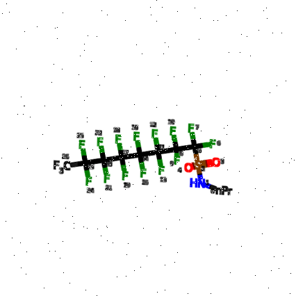 [CH2]CCNS(=O)(=O)C(F)(F)C(F)(F)C(F)(F)C(F)(F)C(F)(F)C(F)(F)C(F)(F)C(F)(F)F